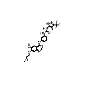 COCCOc1cc2ncnc(Oc3cccc(NC(=O)Nc4[nH]nc(C(F)(F)F)c4C)c3)c2cc1OC